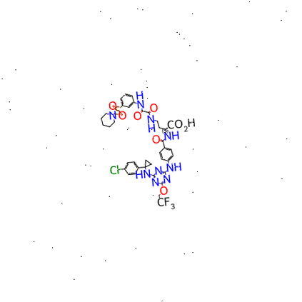 O=C(NCC[C@H](NC(=O)c1ccc(Nc2nc(NC3(c4ccc(Cl)cc4)CC3)nc(OCC(F)(F)F)n2)cc1)C(=O)O)C(=O)Nc1cccc(S(=O)(=O)N2CCCCC2)c1